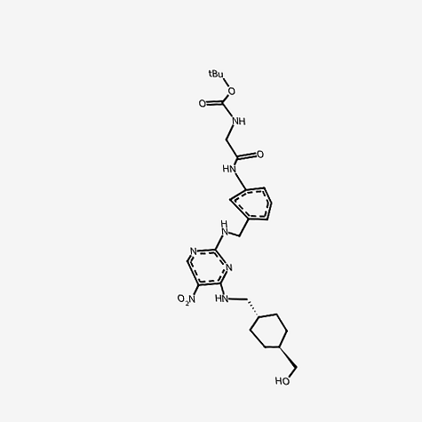 CC(C)(C)OC(=O)NCC(=O)Nc1cccc(CNc2ncc([N+](=O)[O-])c(NC[C@H]3CC[C@H](CO)CC3)n2)c1